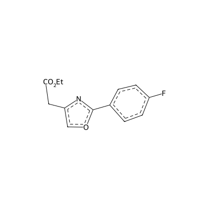 CCOC(=O)Cc1coc(-c2ccc(F)cc2)n1